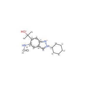 CC(C)(O)c1cc2nn(C3CCCCC3)cc2cc1NC=O